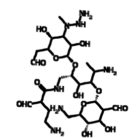 CC(N)C(O[C@H]1O[C@H](CN)[C@@H](O)C(O)C1C=O)C(O)[C@H](CNC(=O)C(C=O)CCN)O[C@H]1OC(CC=O)[C@@H](O)C(N(C)NN)C1O